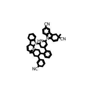 CC1CCC(c2ccccc2C2=CC(n3c4c(c5cc(C#N)ccc53)CC(C)(C#N)C=C4)NC(N3C4=C(CCC=C4)C4C=CC=NC43)C2)C(C2=CC(C#N)CC=C2)C1